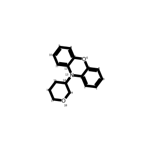 c1ccc2c(c1)Oc1ccccc1N2C1CCCOC1